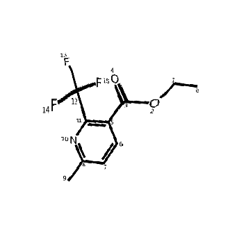 CCOC(=O)c1ccc(C)nc1C(F)(F)F